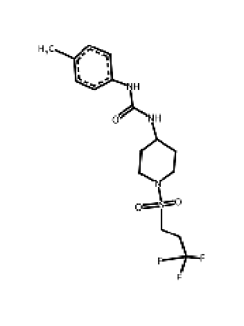 Cc1ccc(NC(=O)NC2CCN(S(=O)(=O)CCC(F)(F)F)CC2)cc1